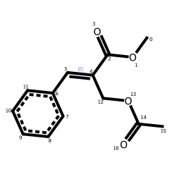 COC(=O)/C(=C/c1ccccc1)COC(C)=O